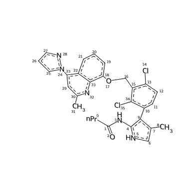 CCCC(=O)Nc1[nH]cc(C)c1-c1ccc(Cl)c(COc2cccc3c(-n4cccn4)cc(C)nc23)c1Cl